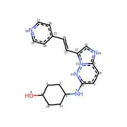 OC1CCC(Nc2ccc3ncc(C=Cc4ccncc4)n3n2)CC1